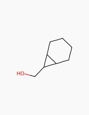 OCC1C2CCCCC12